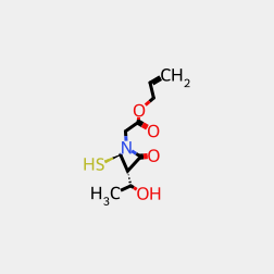 C=CCOC(=O)CN1C(=O)[C@H](C(C)O)[C@H]1S